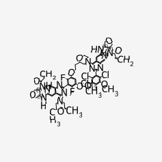 C=CC(=O)N[C@H]1COC[C@H]1Nc1cc2c(N3CC(C)OC(C)C3)nc(-c3c(F)c(OC)cc(OCCC4CN(c5nc(-c6c(Cl)c(OC)cc(OC)c6Cl)nc6cnc(N[C@@H]7COC[C@@H]7NC(=O)C=C)cc56)CCO4)c3F)nc2cn1